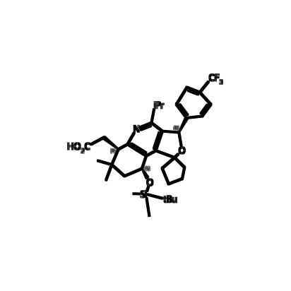 CC(C)c1nc2c(c3c1[C@@H](c1ccc(C(F)(F)F)cc1)OC31CCCC1)[C@@H](O[Si](C)(C)C(C)(C)C)CC(C)(C)[C@H]2CC(=O)O